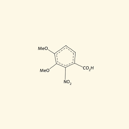 COc1ccc(C(=O)O)c([N+](=O)[O-])c1OC